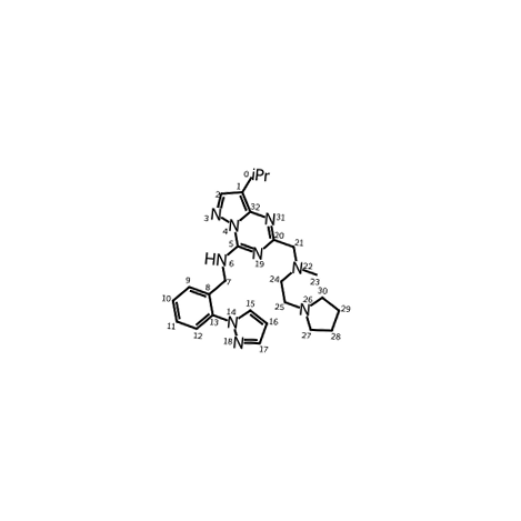 CC(C)c1cnn2c(NCc3ccccc3-n3cccn3)nc(CN(C)CCN3CCCC3)nc12